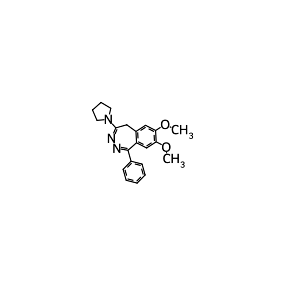 COc1cc2c(cc1OC)C(c1ccccc1)=NN=C(N1CCCC1)C2